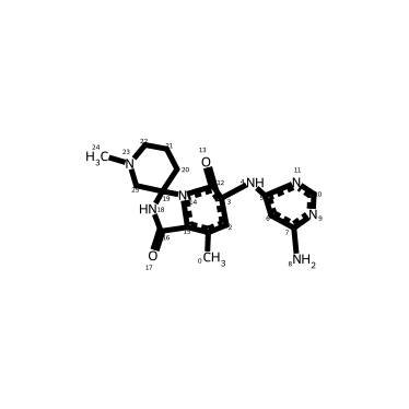 Cc1cc(Nc2cc(N)ncn2)c(=O)n2c1C(=O)NC21CCCN(C)C1